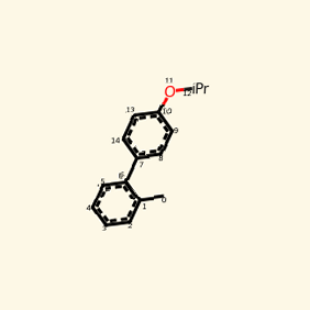 Cc1ccc[c]c1-c1ccc(OC(C)C)cc1